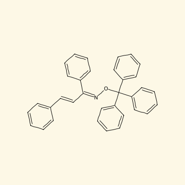 C(=C\c1ccccc1)/C(=N/OC(c1ccccc1)(c1ccccc1)c1ccccc1)c1ccccc1